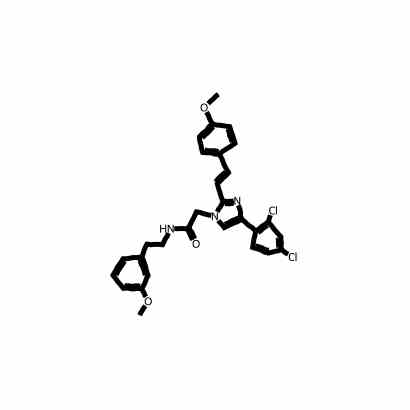 COc1ccc(C=Cc2nc(-c3ccc(Cl)cc3Cl)cn2CC(=O)NCCc2cccc(OC)c2)cc1